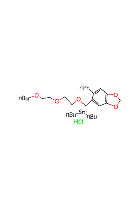 CCCCOCCOCCOCc1cc2c(cc1CCC)OCO2.CCC[CH2][Sn][CH2]CCC.Cl